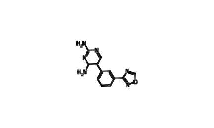 Nc1ncc(-c2cccc(-c3ncon3)c2)c(N)n1